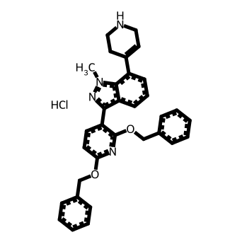 Cl.Cn1nc(-c2ccc(OCc3ccccc3)nc2OCc2ccccc2)c2cccc(C3=CCNCC3)c21